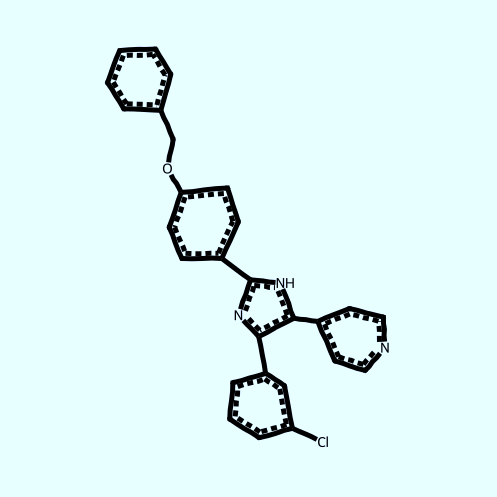 Clc1cccc(-c2nc(-c3ccc(OCc4ccccc4)cc3)[nH]c2-c2ccncc2)c1